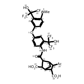 CNc1ccc(Oc2ccc(NC(=O)C3C4CC(C(C(=O)O)C4C(C)=O)C3C(=O)O)c(C(O)(C(F)(F)F)C(F)(F)F)c2)cc1C(O)(C(F)(F)F)C(F)(F)F